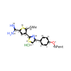 CCCCCOc1ccc(-c2csc(-c3cc(C(=N)N)sc3SC)n2)cc1.Cl